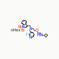 CCCCCCS(=O)(=O)n1cc(CN(CCOCCNC2CCC2)Cc2cccnc2F)c2ccccc21